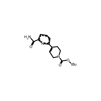 CC(C)(C)OC(=O)N1CC=C(c2cccc(C(N)=O)n2)CC1